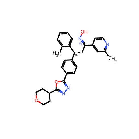 Cc1cc(/C(C[C@H](c2ccc(-c3nnc(C4CCOCC4)o3)cc2)c2ccccc2C)=N\O)ccn1